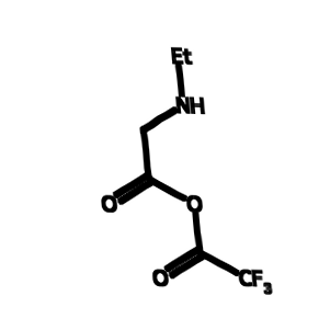 CCNCC(=O)OC(=O)C(F)(F)F